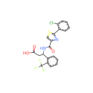 O=C(O)CC(NC(=O)c1csc(-c2ccccc2Cl)n1)c1ccccc1C(F)(F)F